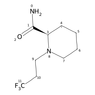 NC(=O)[C@H]1[CH]CCCN1CCC(F)(F)F